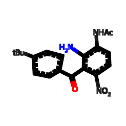 CC(=O)Nc1ccc([N+](=O)[O-])c(C(=O)c2ccc(C(C)(C)C)cc2)c1N